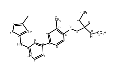 Cc1csc(Nc2nccc(-c3ccc(OCC(C)(CC(C)C)NC(=O)O)c(C(F)(F)F)c3)n2)n1